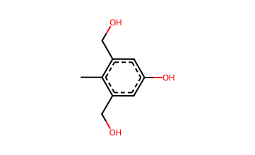 Cc1c(CO)cc(O)cc1CO